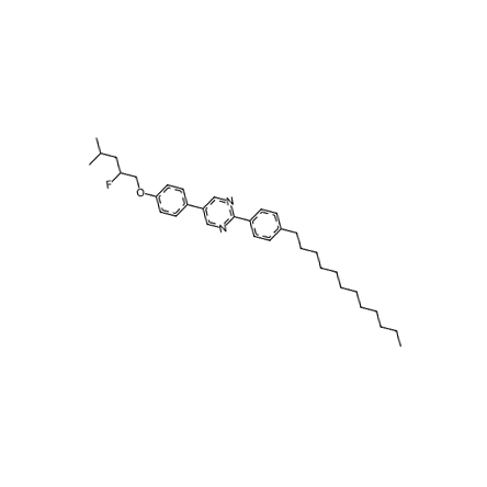 CCCCCCCCCCCCc1ccc(-c2ncc(-c3ccc(OCC(F)CC(C)C)cc3)cn2)cc1